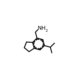 CC(C)c1cc(CN)c2c(c1)CCC2